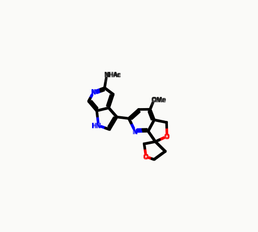 COc1cc(-c2c[nH]c3cnc(NC(C)=O)cc23)nc2c1COC21CCOC1